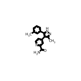 Cc1cccc(-c2[nH]nc(C)c2-c2ccnc(C(N)=O)c2)c1